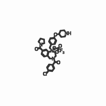 O=C(c1ccc2c(c1)[N+](Cc1ccc(OC3CCNCC3)cc1)(OC(=O)C(F)(F)F)C(=O)CN(C(=O)c1ccc(Cl)cc1)C2)N1CCCC1